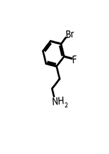 NCCc1cccc(Br)c1F